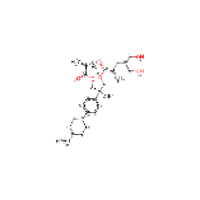 C=C(C)C(=O)OCC(CCC)(COC(=O)C(=C)CC(CO)CO)c1ccc(C2CCC(CCCCC)CC2)cc1